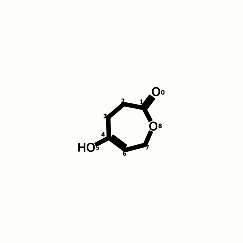 O=C1CCC(O)=CCO1